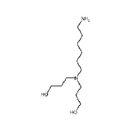 NCCCCCCN(CCCO)CCCO